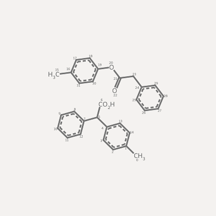 Cc1ccc(C(C(=O)O)c2ccccc2)cc1.Cc1ccc(OC(=O)Cc2ccccc2)cc1